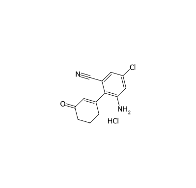 Cl.N#Cc1cc(Cl)cc(N)c1C1=CC(=O)CCC1